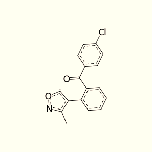 Cc1no[c]c1-c1ccccc1C(=O)c1ccc(Cl)cc1